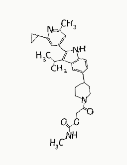 CNC(=O)OCC(=O)N1CCC(c2ccc3[nH]c(-c4cc(C)nc(C5CC5)c4)c(C(C)C)c3c2)CC1